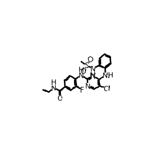 CCNC(=O)c1ccc(Nc2ncc(Cl)c(Nc3ccccc3NS(C)(=O)=O)n2)c(F)c1